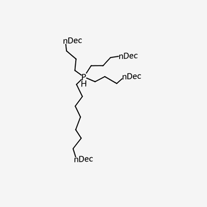 CCCCCCCCCCCCCCCCC[PH](CCCCCCCCCCCCC)(CCCCCCCCCCCCC)CCCCCCCCCCCCC